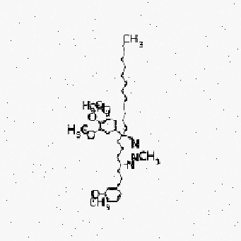 CCCCCCCCCCCCCC(C#N)(CCCC(CCc1cccc(OC)c1)/N=N/C)c1cc(OC)c(OC)c(OC)c1